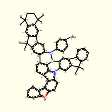 CC(C)(C)c1ccc(N2B3c4cc5c(cc4-n4c6ccc7oc8ccccc8c7c6c6ccc(c3c64)-c3cc4c(cc32)-c2cc3c(cc2C4(C)C)C(C)(C)CCC3(C)C)C(C)(C)c2ccccc2-5)cc1